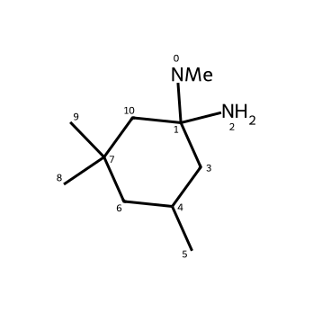 CNC1(N)CC(C)CC(C)(C)C1